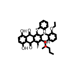 CCCCNc1c(F)c2c(c(Sc3ccccc3)c1Nc1c(OCC)cccc1OCC)C(=O)c1c(O)ccc(O)c1C2=O